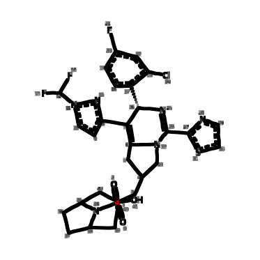 O=S(=O)(CC1CC2=C(c3ccn(C(F)F)n3)[C@H](c3ccc(F)cc3Cl)N=C(c3nccs3)N2C1)N1C2CCC1CC(O)C2